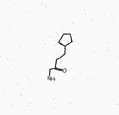 [NH]CC(=O)CCC1CCCC1